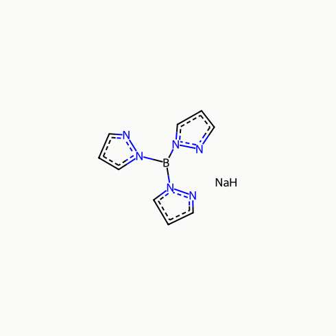 [NaH].c1cnn(B(n2cccn2)n2cccn2)c1